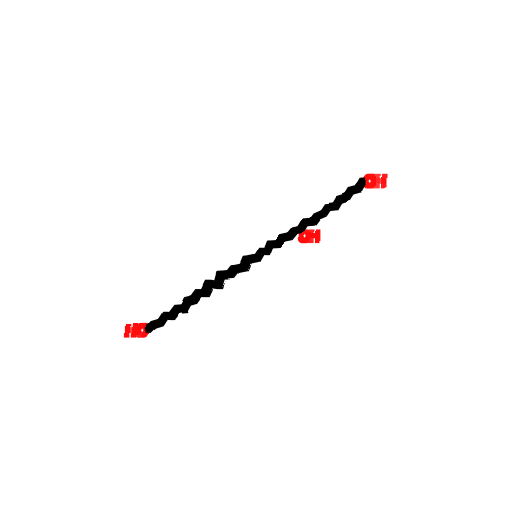 OCCCCCCCCC=CCC(O)CCCCCCCCCCCCCCCCCCCCCCCCCCO